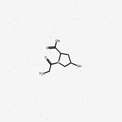 NCC(=O)N1CC(O)CC1C(=O)O